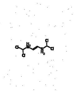 ClC(Cl)[SiH2]C=C[SiH2]C(Cl)Cl